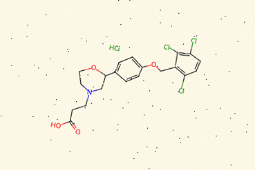 Cl.O=C(O)CCN1CCOC(c2ccc(OCc3c(Cl)ccc(Cl)c3Cl)cc2)C1